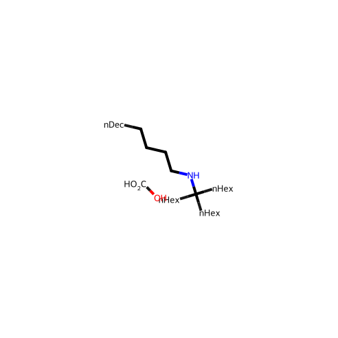 CCCCCCCCCCCCCCNC(CCCCCC)(CCCCCC)CCCCCC.O=C(O)O